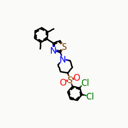 Cc1cccc(C)c1-c1csc(N2CCC(S(=O)(=O)c3cccc(Cl)c3Cl)CC2)n1